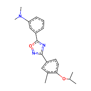 Cc1cc(-c2noc(-c3cccc(N(C)C)c3)n2)ccc1OC(C)C